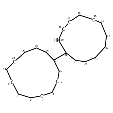 C1CCCCCCC(C2CCCCCCCCCCN2)CCCCC1